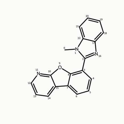 Cn1c(-c2cccc3c2oc2ncccc23)nc2ccccc21